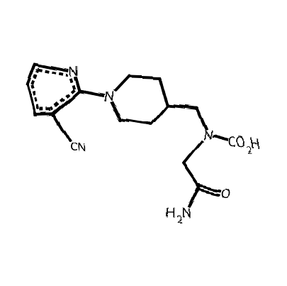 N#Cc1cccnc1N1CCC(CN(CC(N)=O)C(=O)O)CC1